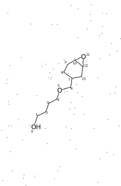 OCCCCOCC1CCC2OC2C1